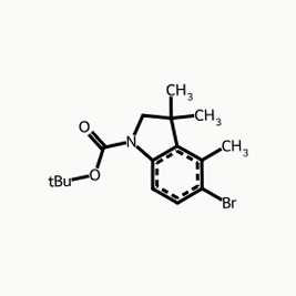 Cc1c(Br)ccc2c1C(C)(C)CN2C(=O)OC(C)(C)C